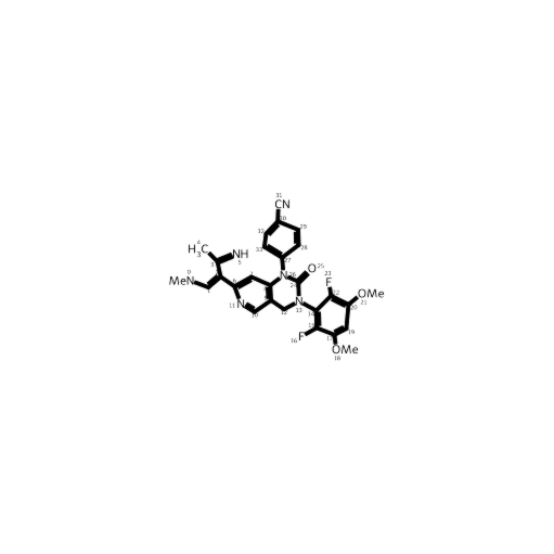 CN/C=C(\C(C)=N)c1cc2c(cn1)CN(c1c(F)c(OC)cc(OC)c1F)C(=O)N2c1ccc(C#N)cc1